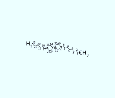 CCCCCCCCCC1CCC([C@H]2CC[C@H](CCCCCC)CC2)CC1